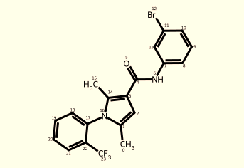 Cc1cc(C(=O)Nc2cccc(Br)c2)c(C)n1-c1ccccc1C(F)(F)F